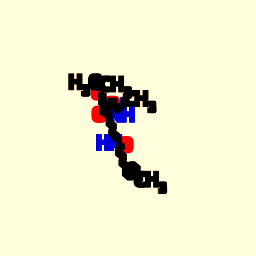 CCCC(=O)N[C@@H](CCCCNC(=O)CCCc1ccc(C)cc1)C(=O)NCCOC(C)C